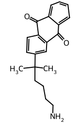 CC(C)(CCCCN)c1ccc2c(c1)C(=O)c1ccccc1C2=O